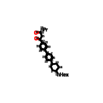 CCCCCCC1CCC(c2ccc(-c3ccc(C(=O)CC(=O)CCC)cc3)cc2)CC1